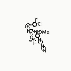 C=CC(=O)Nc1cc(Nc2cc(N3OCC[C@@H]3c3ccc(Cl)c(F)c3)ncn2)c(OC)cc1N1CCC(N2CCN(C)CC2)CC1